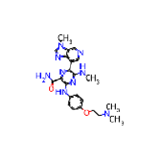 CNc1nc(Nc2ccc(OCCN(C)C)cc2)c(C(N)=O)nc1-c1cncc2c1ncn2C